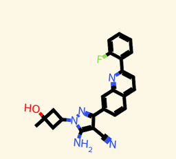 CC1(O)CC(n2nc(-c3ccc4ccc(-c5ccccc5F)nc4c3)c(C#N)c2N)C1